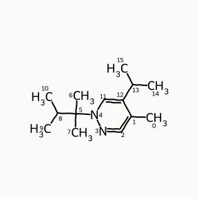 CC1=C=NN(C(C)(C)C(C)C)C=C1C(C)C